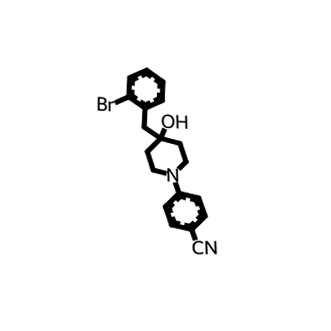 N#Cc1ccc(N2CCC(O)(Cc3ccccc3Br)CC2)cc1